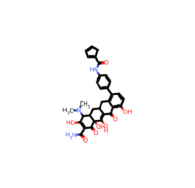 CN(C)C1C(O)=C(C(N)=O)C(=O)C2(O)C(O)=C3C(=O)c4c(O)ccc(-c5ccc(NC(=O)C6=CC=CC6)cc5)c4CC3CC12